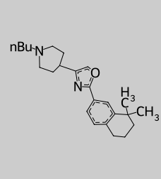 CCCCN1CCC(c2coc(-c3ccc4c(c3)C(C)(C)CCC4)n2)CC1